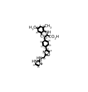 Cc1cc(C)c(NC(Cc2ccc(-c3coc(CNc4ncc[nH]4)n3)cc2)C(=O)O)c(C)c1